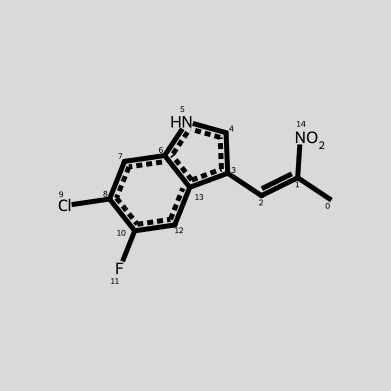 C/C(=C/c1c[nH]c2cc(Cl)c(F)cc12)[N+](=O)[O-]